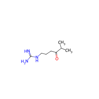 CC(C)C(=O)CCCNC(=N)N